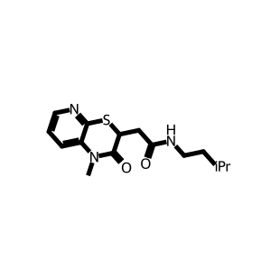 CC(C)CCNC(=O)CC1Sc2ncccc2N(C)C1=O